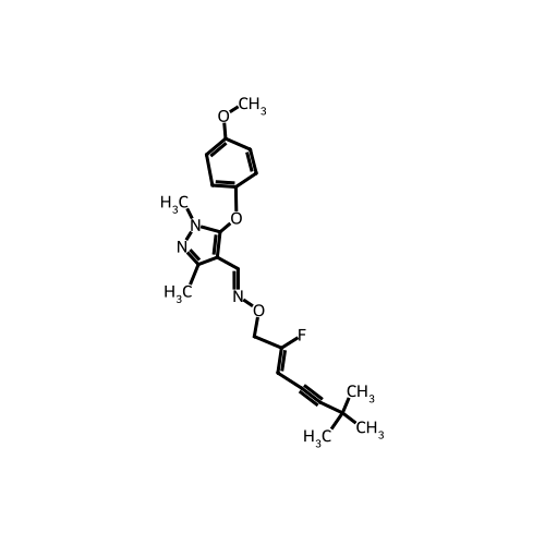 COc1ccc(Oc2c(C=NOCC(F)=CC#CC(C)(C)C)c(C)nn2C)cc1